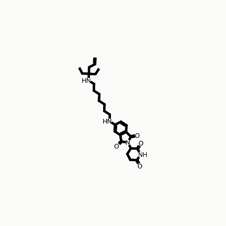 C=CCC(CC)(CC)NCCCCCCCNc1ccc2c(c1)C(=O)N(C1CCC(=O)NC1=O)C2=O